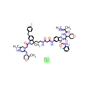 CN[C@@H](C)C(=O)N[C@H](C(=O)N1Cc2ccc(NC(=O)CC(=O)NCCCC3(C)CN(C(=O)CN4C[C@@H](C)NC[C@@H]4CN4CCOC[C@H]4C)c4cc(Cc5ccc(F)cc5)ccc43)cc2[C@H]1C(=O)Nc1c(F)cccc1F)C1CCOCC1.Cl.Cl.Cl